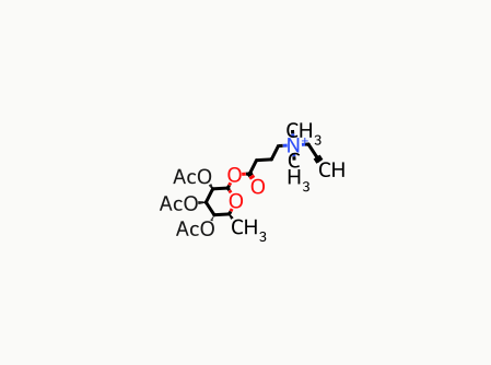 C#CC[N+](C)(C)CCCC(=O)OC1O[C@@H](C)[C@H](OC(C)=O)[C@@H](OC(C)=O)[C@H]1OC(C)=O